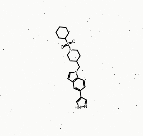 O=S(=O)(C1CCCCC1)N1CCC(Cn2ccc3cc(-c4cn[nH]c4)ccc32)CC1